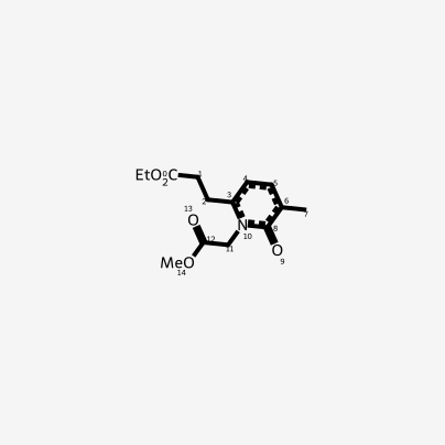 CCOC(=O)CCc1ccc(C)c(=O)n1CC(=O)OC